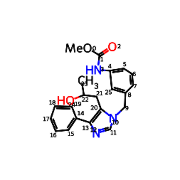 COC(=O)Nc1cccc(Cn2cnc(-c3ccccc3)c2CC(C)O)c1